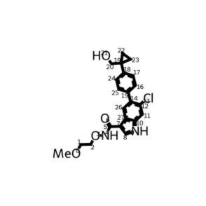 COCCONC(=O)c1c[nH]c2cc(Cl)c(-c3ccc(C4(CO)CC4)cc3)cc12